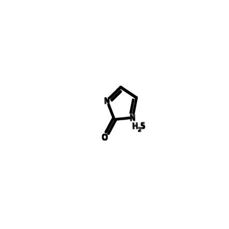 O=C1N=CC=N1.S